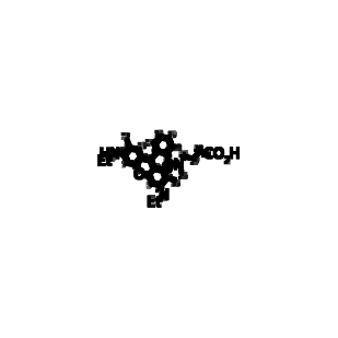 CC/N=c1\cc2oc3cc(NCC)c(C)cc3c(-c3ccccc3C(=O)N(C)CCCC(=O)O)c-2cc1C